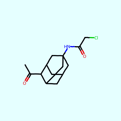 CC(=O)C1C2CC3CC1CC(NC(=O)CCl)(C3)C2